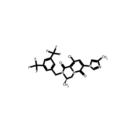 Cc1cn(-c2cc(Cl)c3n(c2=O)C[C@@H](C)N(Cc2cc(C(F)(F)F)cc(C(F)(F)F)c2)C3=O)cn1